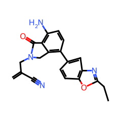 C=C(C#N)CN1Cc2c(-c3ccc4oc(CC)nc4c3)ccc(N)c2C1=O